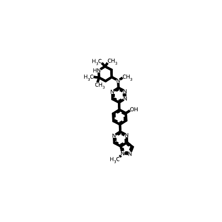 CN(c1ncc(-c2ccc(-c3ncc4c(cnn4C)n3)cc2O)nn1)C1CC(C)(C)NC(C)(C)C1